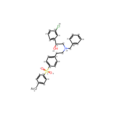 CC(=O)Oc1ccc(S(=O)(=O)c2ccc(CCN(Cc3ccccc3)C[C@@H](O)c3cccc(Cl)c3)cc2)cc1